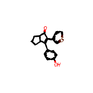 O=C1C(c2ccsc2)=C(c2ccc(O)cc2)C2CCCC12